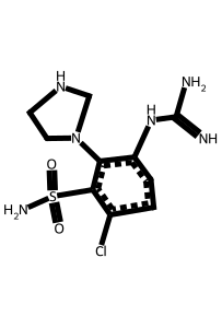 N=C(N)Nc1ccc(Cl)c(S(N)(=O)=O)c1N1CCNC1